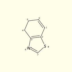 C1=CC2=C(CC1)[N+]=CS2